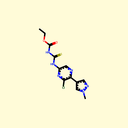 CCOC(=O)NC(=S)Nc1cnc(-c2cnn(C)c2)c(Cl)n1